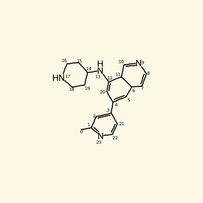 Cc1cc(C2=CC3C=CN=CC3C(NC3CCNCC3)=C2)ccn1